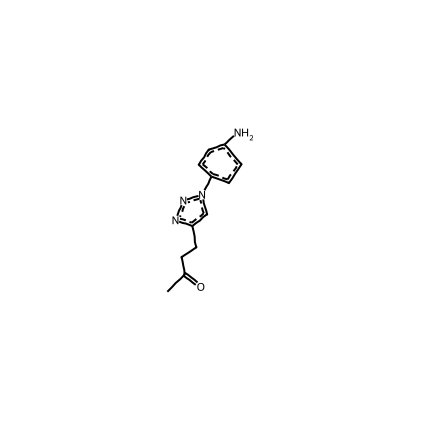 CC(=O)CCc1cn(-c2ccc(N)cc2)nn1